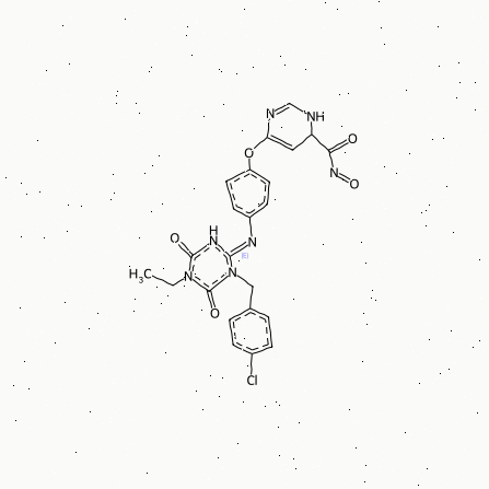 CCn1c(=O)[nH]/c(=N\c2ccc(OC3=CC(C(=O)N=O)NC=N3)cc2)n(Cc2ccc(Cl)cc2)c1=O